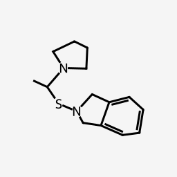 CC(SN1Cc2ccccc2C1)N1CCCC1